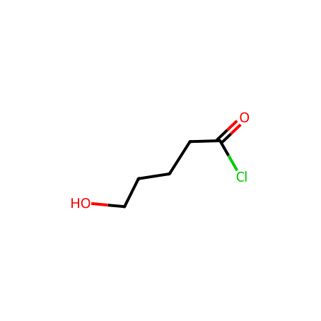 O=C(Cl)CCCCO